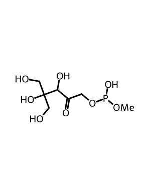 COP(O)OCC(=O)C(O)C(O)(CO)CO